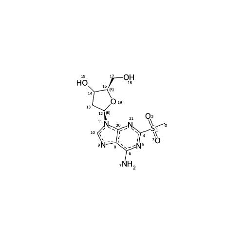 CS(=O)(=O)c1nc(N)c2ncn([C@H]3CC(O)[C@@H](CO)O3)c2n1